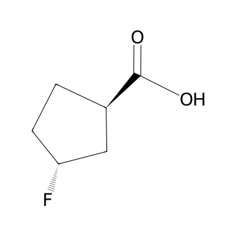 O=C(O)[C@@H]1CC[C@@H](F)C1